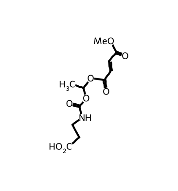 COC(=O)C=CC(=O)OC(C)OC(=O)NCCC(=O)O